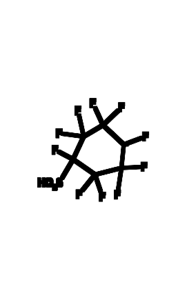 O=S(=O)(O)C1(F)C(F)(F)C(F)(F)[C](F)C(F)(F)C1(F)F